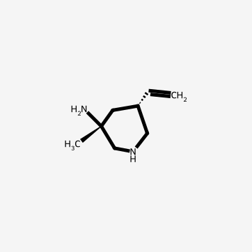 C=C[C@@H]1CNC[C@](C)(N)C1